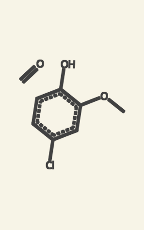 C=O.COc1cc(Cl)ccc1O